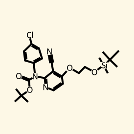 CC(C)(C)OC(=O)N(c1ccc(Cl)cc1)c1nccc(OCCO[Si](C)(C)C(C)(C)C)c1C#N